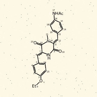 CCOc1ccc(/C=c2\[nH]c(=O)/c(=C/c3ccc(NC(C)=O)cc3)n(C)c2=O)cc1